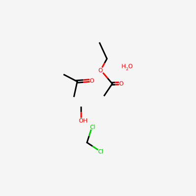 CC(C)=O.CCOC(C)=O.CO.ClCCl.O